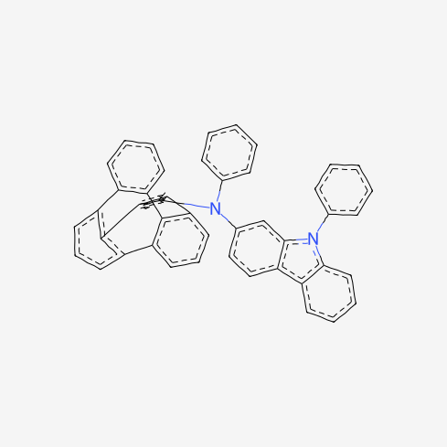 c1ccc(N(c2ccc3c4ccccc4n(-c4ccccc4)c3c2)c2cccc3c2-c2cccc4c2-c2ccccc2-c2cccc-4c2-3)cc1